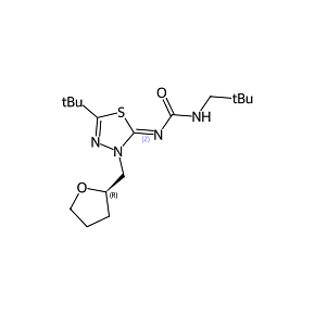 CC(C)(C)CNC(=O)/N=c1\sc(C(C)(C)C)nn1C[C@H]1CCCO1